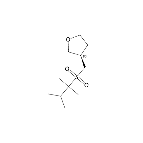 CC(C)C(C)(C)S(=O)(=O)C[C@@H]1CCOC1